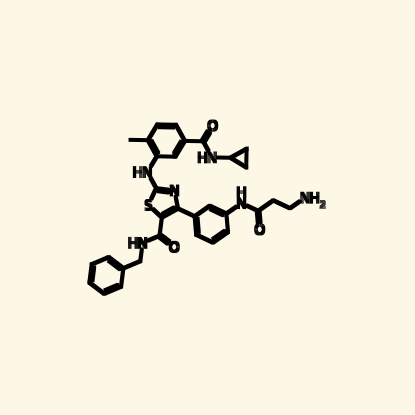 Cc1ccc(C(=O)NC2CC2)cc1Nc1nc(-c2cccc(NC(=O)CCN)c2)c(C(=O)NCc2ccccc2)s1